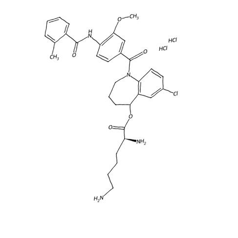 COc1cc(C(=O)N2CCCC(OC(=O)[C@@H](N)CCCCN)c3cc(Cl)ccc32)ccc1NC(=O)c1ccccc1C.Cl.Cl